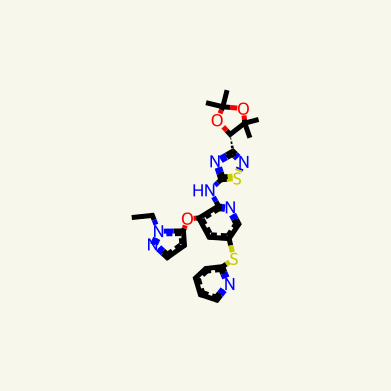 CCn1nccc1Oc1cc(Sc2ccccn2)cnc1Nc1nc([C@@H]2OC(C)(C)OC2(C)C)ns1